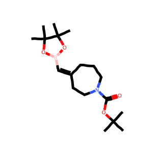 CC(C)(C)OC(=O)N1CCCC(=CB2OC(C)(C)C(C)(C)O2)CC1